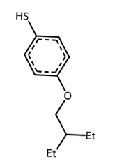 CCC(CC)COc1ccc(S)cc1